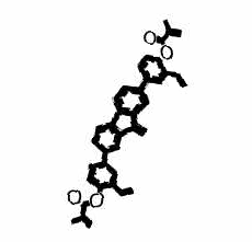 C=Cc1cc(-c2ccc3c(c2)C(=C)c2cc(-c4ccc(OC(=O)C(=C)C)c(C=C)c4)ccc2-3)ccc1OC(=O)C(=C)C